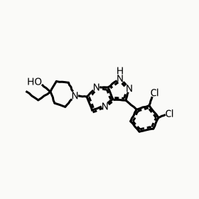 CCC1(O)CCN(c2cnc3c(-c4cccc(Cl)c4Cl)n[nH]c3n2)CC1